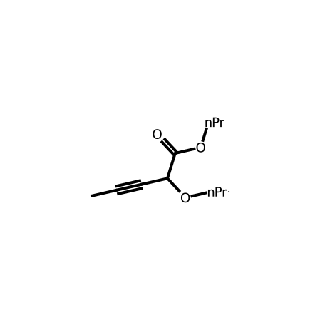 CC#CC(O[CH]CC)C(=O)OCCC